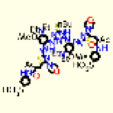 CCCCSc1nc(Nc2cc(N(CC)CC)c(OC)cc2/N=N/c2nc(N3CCOCC3)c(/C=C(/C(C)=O)C(=O)Nc3ccc(S(=O)(=O)O)cc3)s2)nc(Nc2cc(N(CC)CC)c(OC)cc2/N=N/c2nc(N3CCOCC3)c(/C=C(\C(C)=O)C(=O)Nc3ccc(S(=O)(=O)O)cc3)s2)n1